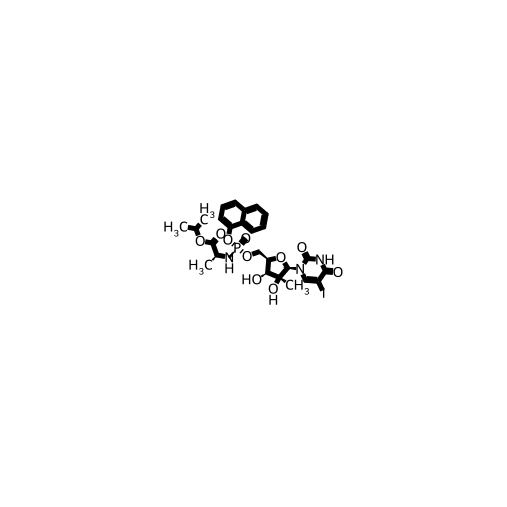 CC(C)OC(=O)[C@@H](C)N[P@@](=O)(OC[C@H]1O[C@@H](n2cc(I)c(=O)[nH]c2=O)[C@](C)(O)[C@@H]1O)Oc1cccc2ccccc12